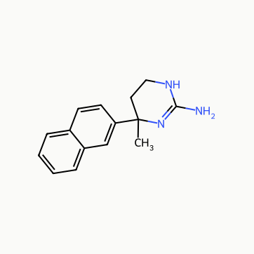 CC1(c2ccc3ccccc3c2)CCNC(N)=N1